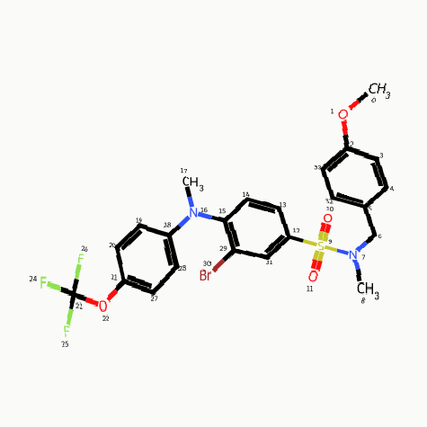 COc1ccc(CN(C)S(=O)(=O)c2ccc(N(C)c3ccc(OC(F)(F)F)cc3)c(Br)c2)cc1